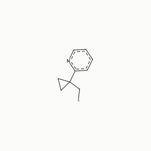 [CH2]CC1(c2ccccn2)CC1